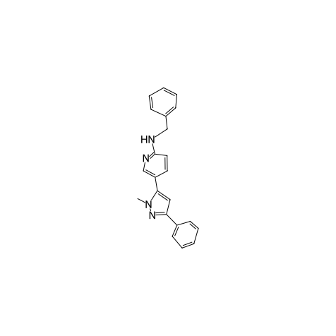 Cn1nc(-c2ccccc2)cc1-c1ccc(NCc2ccccc2)nc1